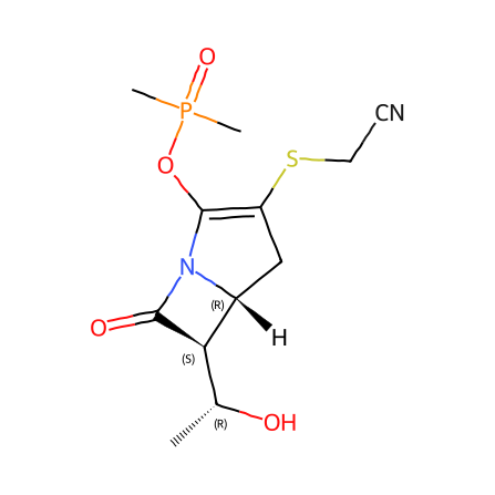 C[C@@H](O)[C@H]1C(=O)N2C(OP(C)(C)=O)=C(SCC#N)C[C@H]12